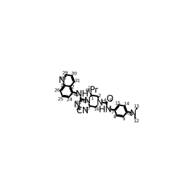 CC(C)C1CN(C(=O)Nc2ccc(N(C)C)cc2)CCN1/C(=N\C#N)Nc1cccc2ncccc12